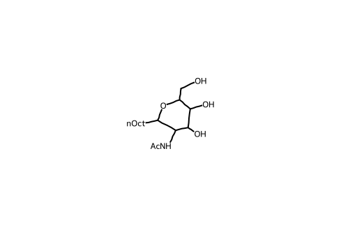 CCCCCCCCC1OC(CO)C(O)C(O)C1NC(C)=O